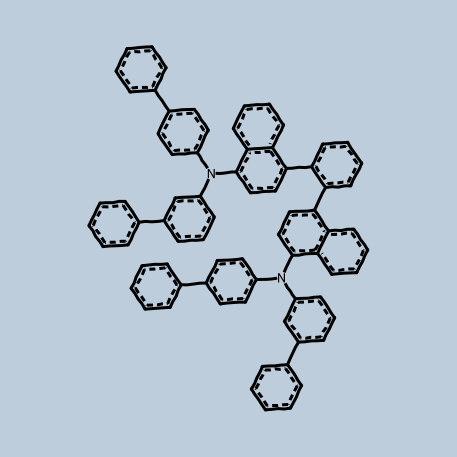 c1ccc(-c2ccc(N(c3cccc(-c4ccccc4)c3)c3ccc(-c4ccccc4-c4ccc(N(c5ccc(-c6ccccc6)cc5)c5cccc(-c6ccccc6)c5)c5ccccc45)c4ccccc34)cc2)cc1